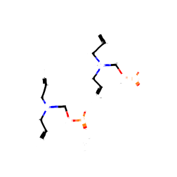 C=CCN(CC=C)CO[PH](=O)[O-].C=CCN(CC=C)CO[PH](=O)[O-].[Mg+2]